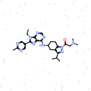 CCn1c(-c2cnc(C)nc2)nc2c(NC3CCc4c(c(C(C)C)nn4C(=O)CN(C)C)C3)ncnc21